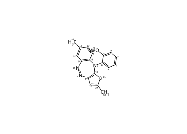 COc1ccccc1N1c2ccc(C)cc2N=Nc2cc(C)oc21